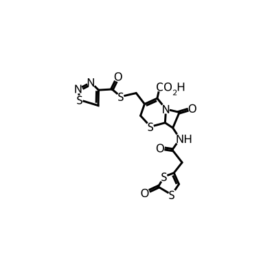 O=C(Cc1csc(=O)s1)NC1C(=O)N2C(C(=O)O)=C(CSC(=O)c3csnn3)CSC12